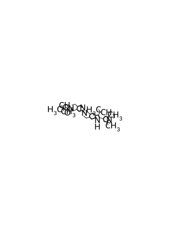 Cc1cc(-c2[nH]c3cc4c(cc3c2C(C)C)CN(c2cc3c(cn2)CCN(C(=O)OC(C)(C)C)C3)CC4)cc(C)n1